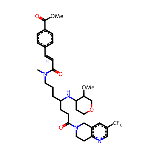 COC(=O)c1ccc(/C=C/C(=O)N(C)CCCC(CCC(=O)N2CCc3ncc(C(F)(F)F)cc3C2)NC2CCOCC2OC)cc1